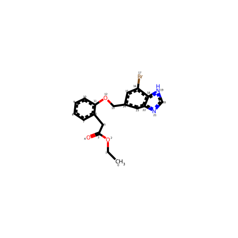 CCOC(=O)Cc1ccccc1OCc1cc(Br)c2[nH]cnc2c1